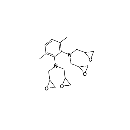 Cc1ccc(C)c(N(CC2CO2)CC2CO2)c1N(CC1CO1)CC1CO1